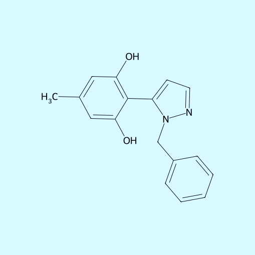 Cc1cc(O)c(-c2ccnn2Cc2ccccc2)c(O)c1